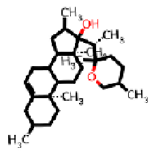 CC1CCC(C)([C@@H](C)C2(O)C(C)CC3C4CC=C5CC(C)CC[C@]5(C)C4CC[C@@]32C)OC1